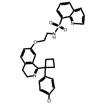 O=S(=O)(NCCOc1ccc2c(c1)C(C1(c3ccc(Cl)cc3)CCC1)=NCC2)c1cccc2cccnc12